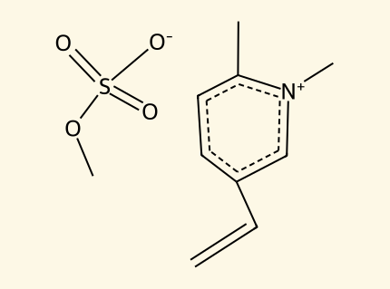 C=Cc1ccc(C)[n+](C)c1.COS(=O)(=O)[O-]